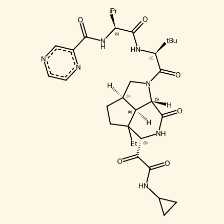 CCC12CC[C@H]3CN(C(=O)[C@@H](NC(=O)[C@@H](NC(=O)c4cnccn4)C(C)C)C(C)(C)C)[C@H](C(=O)N[C@@H]1C(=O)C(=O)NC1CC1)[C@H]32